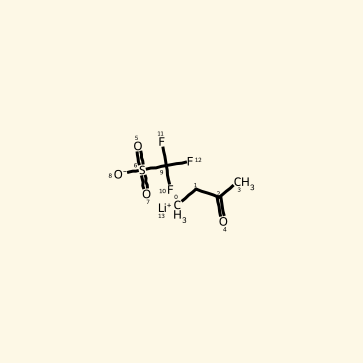 CCC(C)=O.O=S(=O)([O-])C(F)(F)F.[Li+]